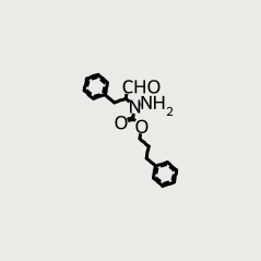 NN(C(=O)OCCCc1ccccc1)C(C=O)Cc1ccccc1